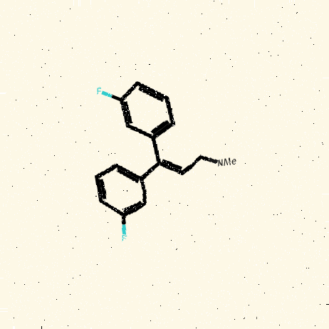 CNCC=C(c1cccc(F)c1)c1cccc(F)c1